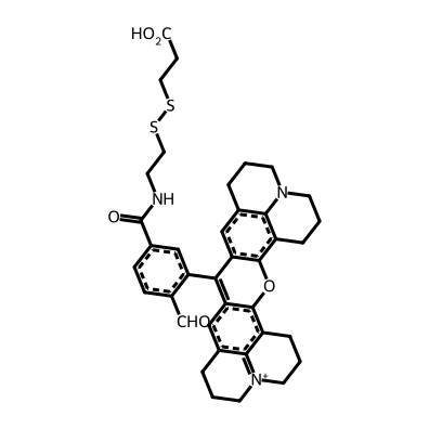 O=Cc1ccc(C(=O)NCCSSCCC(=O)O)cc1C1=c2cc3c4c(c2Oc2c1cc1c5c2CCCN5CCC1)CCC[N+]=4CCC3